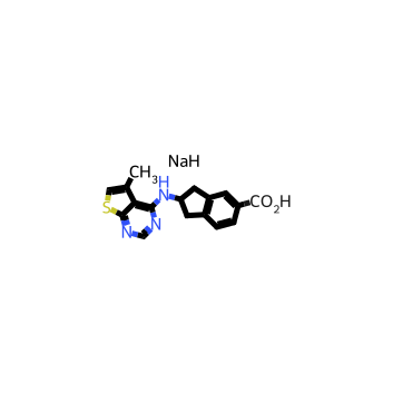 Cc1csc2ncnc(NC3Cc4ccc(C(=O)O)cc4C3)c12.[NaH]